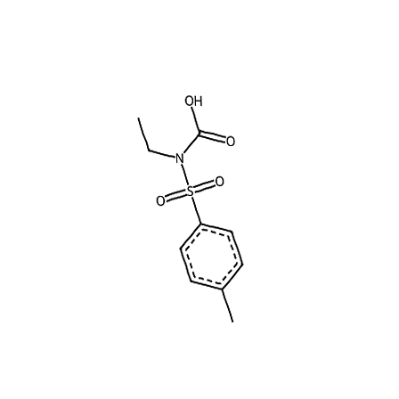 CCN(C(=O)O)S(=O)(=O)c1ccc(C)cc1